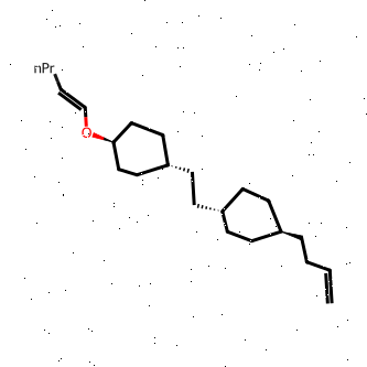 C=CCC[C@H]1CC[C@H](CC[C@H]2CC[C@H](OC=CCCC)CC2)CC1